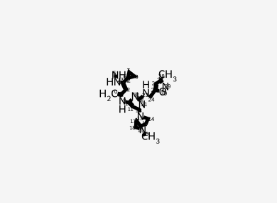 C=C(/C=C(\NN)C1CC1)Nc1cc(N2CC3CC2CN3C)nc(NCc2cc(C)no2)n1